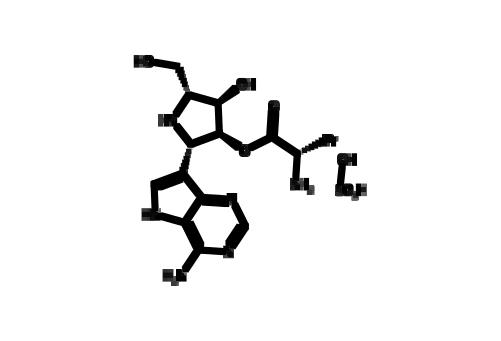 CC(C)[C@H](N)C(=O)O[C@@H]1[C@H](O)[C@@H](CO)N[C@H]1c1c[nH]c2c(N)ncnc12.O=S(=O)(O)O